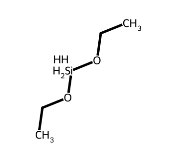 CCO[SiH2]OCC.[HH]